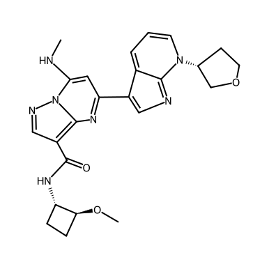 CNc1cc(-c2cnc3n([C@@H]4CCOC4)cccc2-3)nc2c(C(=O)N[C@H]3CC[C@@H]3OC)cnn12